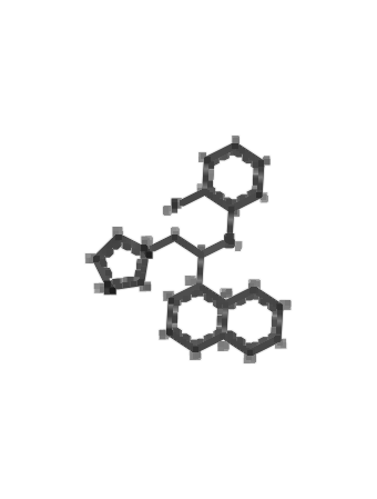 Fc1ccccc1SC(Cn1ccnc1)c1cccc2ccccc12